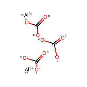 O=C([O-])[O-].O=C([O-])[O-].O=C([O-])[O-].[Al+3].[Al+3]